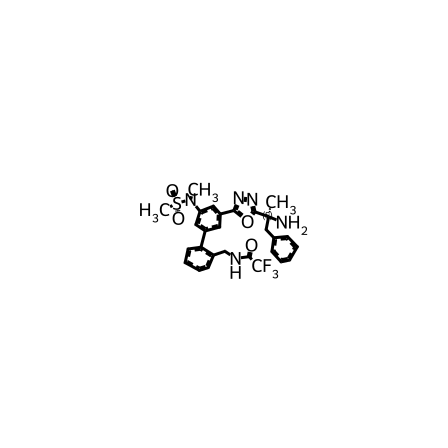 CN(c1cc(-c2nnc([C@@](C)(N)Cc3ccccc3)o2)cc(-c2ccccc2CNC(=O)C(F)(F)F)c1)S(C)(=O)=O